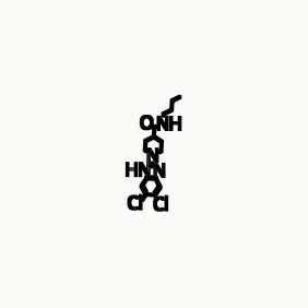 CCCCNC(=O)C1CCN(c2nc3cc(Cl)c(Cl)cc3[nH]2)CC1